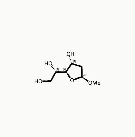 CO[C@@H]1C[C@@H](O)[C@H]([C@@H](O)CO)O1